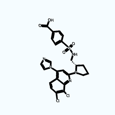 O=C(O)c1ccc(S(=O)(=O)NC[C@@H]2CCCN2c2cc(-n3ccnc3)c3ccc(Cl)c(Cl)c3n2)cc1